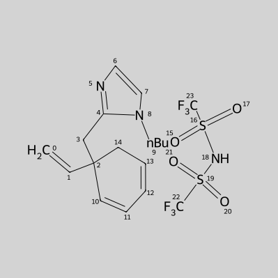 C=CC1(Cc2nccn2CCCC)C=CC=CC1.O=S(=O)(NS(=O)(=O)C(F)(F)F)C(F)(F)F